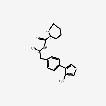 Cc1cscc1-c1ccc(C[C@@H](N)NC(=O)[C@@H]2CCCCN2)cc1